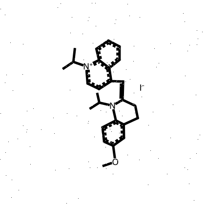 COc1ccc2c(c1)CC/C(=C/c1cc[n+](C(C)C)c3ccccc13)N2C(C)C.[I-]